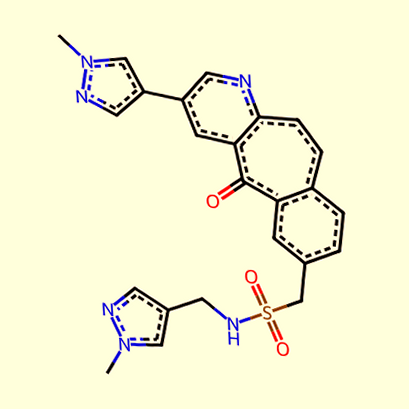 Cn1cc(CNS(=O)(=O)Cc2ccc3ccc4ncc(-c5cnn(C)c5)cc4c(=O)c3c2)cn1